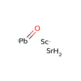 [O]=[Pb].[Sc].[SrH2]